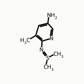 Cc1cc(N)cnc1N=S(C)C